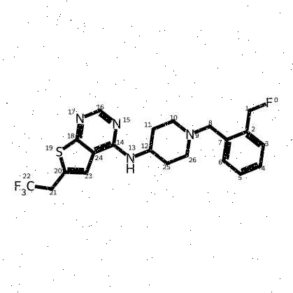 FCc1ccccc1CN1CCC(Nc2ncnc3sc(CC(F)(F)F)cc23)CC1